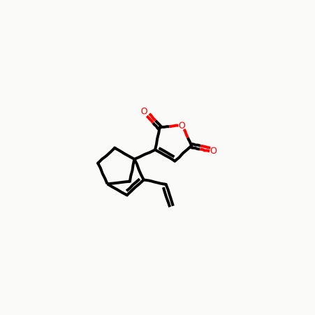 C=CC1=CC2CCC1(C1=CC(=O)OC1=O)C2